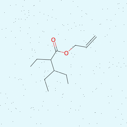 C=CCOC(=O)C(CC)C(CC)CC